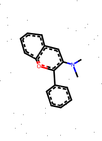 CN(C)c1cc2ccccc2[o+]c1-c1ccccc1